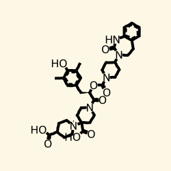 Cc1cc(C[C@@H](OC(=O)N2CCC(N3CCc4ccccc4NC3=O)CC2)C(=O)N2CCC(C(=O)O)([N+]3CCC(C(=O)O)CC3)CC2)cc(C)c1O